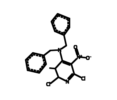 CC1C(N(Cc2ccccc2)Cc2ccccc2)=C([N+](=O)[O-])C(Cl)=NC1Cl